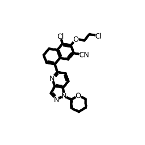 N#Cc1cc2c(c(Cl)c1OCCCl)CCC=C2c1ccc2c(cnn2C2CCCCO2)n1